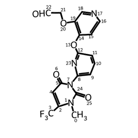 Cn1c(C(F)(F)F)cc(=O)n(-c2cccc(Oc3ccncc3OCC=O)n2)c1=O